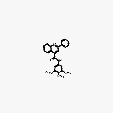 COc1cc(NC(=O)c2cc(-c3ccccc3)nc3ccccc23)cc(OC)c1OC